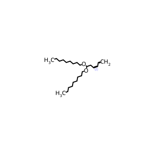 C=C/C=C\CC(OCCCCCCCCC)OCCCCCCCCC